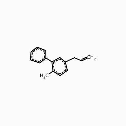 C=CCc1ccc(C)c(-c2ccccc2)c1